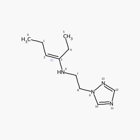 CC/C=C(\CC)NCCn1cncn1